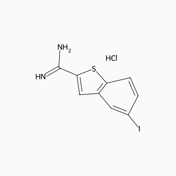 Cl.N=C(N)c1cc2cc(I)ccc2s1